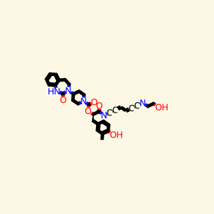 Cc1cc(C[C@@H](OC(=O)N2CCC(N3CCc4ccccc4NC3=O)CC2)C(=O)N=C=C=CC=C=C=NCCO)ccc1O